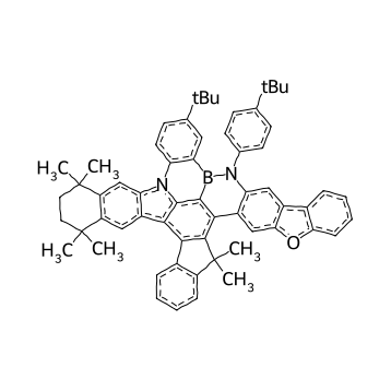 CC(C)(C)c1ccc(N2B3c4cc(C(C)(C)C)ccc4-n4c5cc6c(cc5c5c7c(c(c3c54)-c3cc4oc5ccccc5c4cc32)C(C)(C)c2ccccc2-7)C(C)(C)CCC6(C)C)cc1